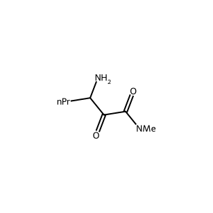 CCCC(N)C(=O)C(=O)NC